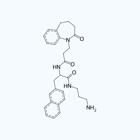 NCCCNC(=O)C(Cc1ccc2ccccc2c1)NC(=O)CCN1C(=O)CCCc2ccccc21